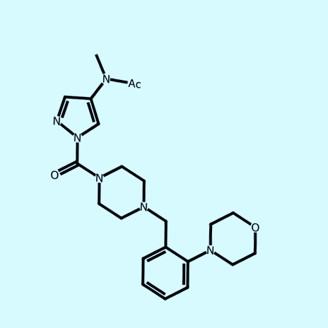 CC(=O)N(C)c1cnn(C(=O)N2CCN(Cc3ccccc3N3CCOCC3)CC2)c1